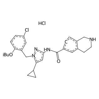 CC(C)COc1ccc(Cl)cc1Cn1nc(NC(=O)c2ccc3c(c2)CCNC3)cc1C1CC1.Cl